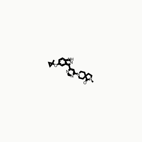 CN1CCC2(CCN(c3cc(-c4n[nH]c5ccc(OC6(C)CC6)cc45)ncn3)CC2)C1=O